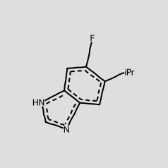 CC(C)c1cc2nc[nH]c2cc1F